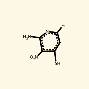 CCc1cc(S)c([N+](=O)[O-])c(N)n1